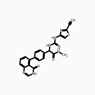 C#Cc1nc(NC(=O)NC(C(=O)NC)c2ccc(-c3cccc4nc[nH]c(=O)c34)cc2)cs1